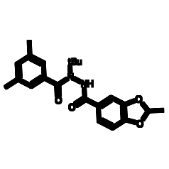 Cc1cc(C)cc(C(=O)N(NC(=O)c2ccc3c(c2)OC(C)O3)C(C)(C)C)c1